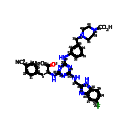 COC(=O)[C@@H](Cc1ccc(C#N)cc1)Nc1nc(NCc2nc3cc(F)ccc3[nH]2)nc(Nc2cccc(CN3CCN(C(=O)O)CC3)c2)n1